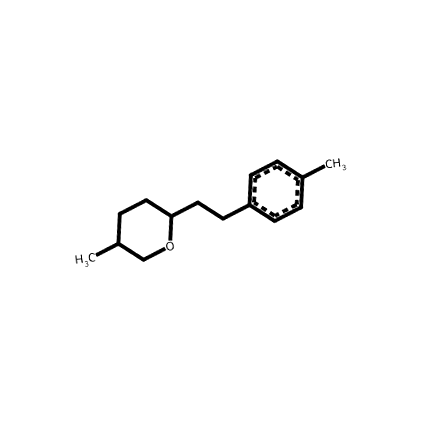 Cc1ccc(CCC2CCC(C)CO2)cc1